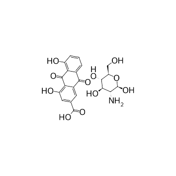 N[C@@H]1[C@@H](O)[C@H](O)[C@@H](CO)O[C@H]1O.O=C(O)c1cc(O)c2c(c1)C(=O)c1cccc(O)c1C2=O